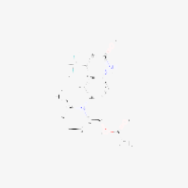 CC(=O)OC[C@H]1CCC[C@@H](C)N1c1ccc2[nH]c(=O)cc(C(F)(F)F)c2c1